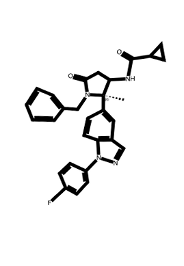 C[C@@]1(c2ccc3c(cnn3-c3ccc(F)cc3)c2)C(NC(=O)C2CC2)CC(=O)N1Cc1ccccc1